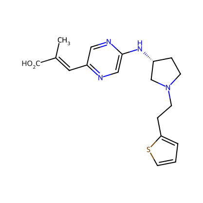 C/C(=C\c1cnc(N[C@@H]2CCN(CCc3cccs3)C2)cn1)C(=O)O